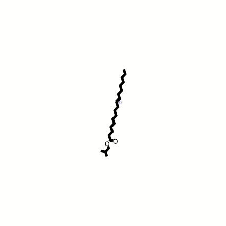 CCCCCCC/C=C/CCCCCCCCC(=O)OCC(C)C